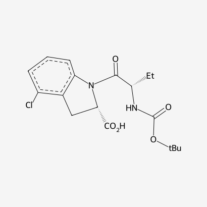 CC[C@H](NC(=O)OC(C)(C)C)C(=O)N1c2cccc(Cl)c2C[C@H]1C(=O)O